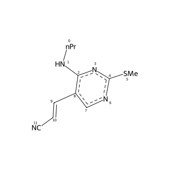 CCCNc1nc(SC)ncc1C=CC#N